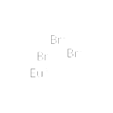 [Br-].[Br-].[Br-].[Eu+3]